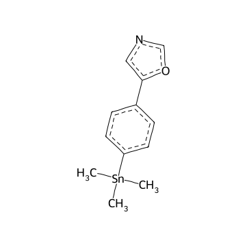 [CH3][Sn]([CH3])([CH3])[c]1ccc(-c2cnco2)cc1